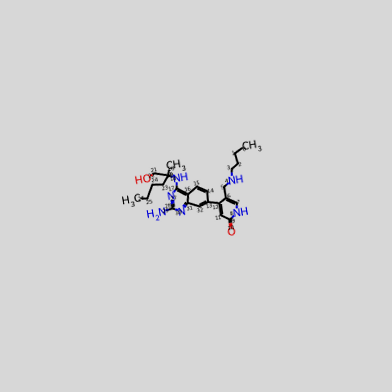 CCCCNCc1c[nH]c(=O)cc1-c1ccc2c(N[C@@](C)(CO)CCCC)nc(N)nc2c1